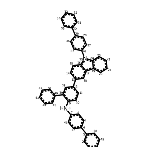 c1ccc(-c2ccc(Nc3ccc(-c4ccc5c(c4)c4ccccc4n5-c4ccc(-c5ccccc5)cc4)cc3-c3ccccc3)cc2)cc1